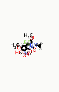 COCCCN(C(=O)NC1CC1)C(=O)c1c(C(F)(F)F)cc(OC)c(O)c1[N+](=O)[O-]